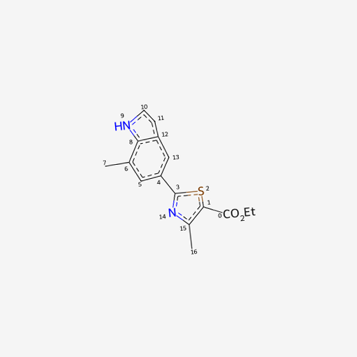 CCOC(=O)c1sc(-c2cc(C)c3[nH]ccc3c2)nc1C